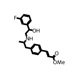 COC(=O)/C=C/c1ccc(CC(C)NCC(O)c2cccc(F)c2)cc1